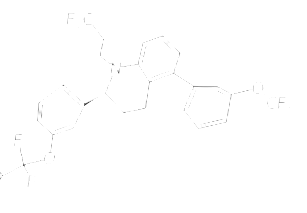 FC(F)C(F)(F)Oc1cccc([C@@H]2CCc3c(-c4cccc(OC(F)(F)F)c4)cccc3N2CCC(F)(F)F)c1